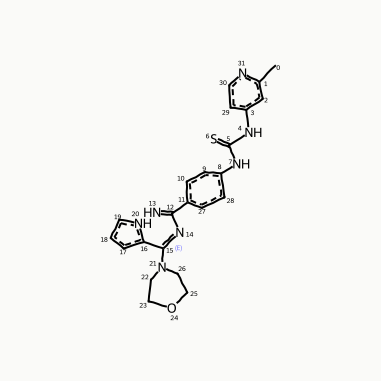 Cc1cc(NC(=S)Nc2ccc(C(=N)/N=C(\c3ccc[nH]3)N3CCOCC3)cc2)ccn1